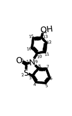 O=c1sc2ccccc2n1-c1ccc(O)cc1